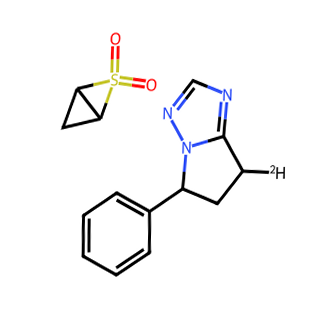 O=S1(=O)C2CC21.[2H]C1CC(c2ccccc2)n2ncnc21